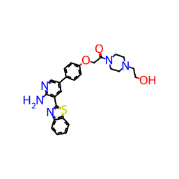 Nc1ncc(-c2ccc(OCC(=O)N3CCN(CCO)CC3)cc2)cc1-c1nc2ccccc2s1